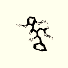 COc1cccc(OC)c1C(=O)C(CC(=O)OP)C(C)Cc1ccccc1